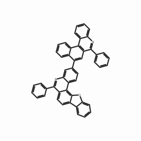 c1ccc(-c2nc3ccccc3c3c2cc(-c2ccc4c(c2)nc(-c2ccccc2)c2ccc5c6ccccc6oc5c24)c2ccccc23)cc1